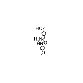 CCOc1ccc(NC(=O)[C@@H](N)Cc2ccc(C(C)O)cc2)cc1